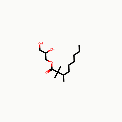 CCCCCCC(C)C(C)(C)C(=O)OCC(O)CO